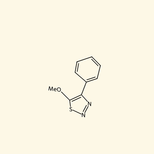 COc1snnc1-c1ccccc1